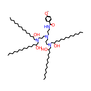 CCCCCCCCCCCCC(O)CN(CCCN(CCCNC(=O)c1ccc(OC)cc1)CCCN(CC(O)CCCCCCCCCCCC)CC(O)CCCCCCCCCCCC)CC(O)CCCCCCCCCCCC